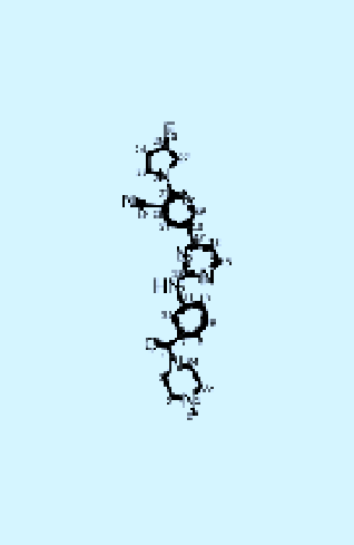 CN1CCN(C(=O)c2cccc(Nc3nccc(-c4cnc(N5CCC(F)C5)c(C#N)c4)n3)c2)CC1